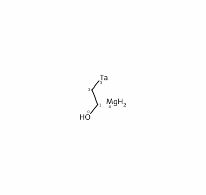 OC[CH2][Ta].[MgH2]